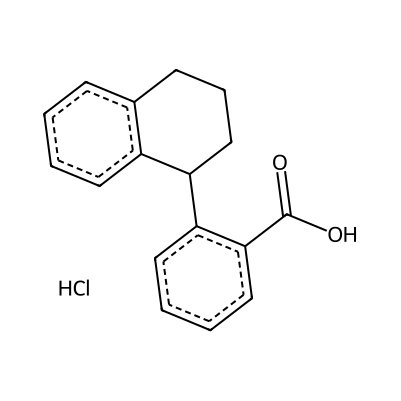 Cl.O=C(O)c1ccccc1C1CCCc2ccccc21